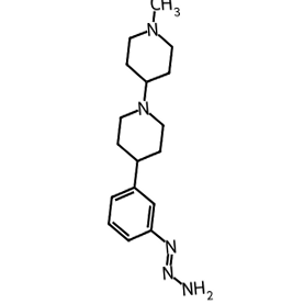 CN1CCC(N2CCC(c3cccc(N=NN)c3)CC2)CC1